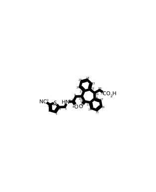 N#Cc1ccc(CNC(=O)CC2C(=O)c3ccccc3C(CC(=O)O)c3ccccc32)s1